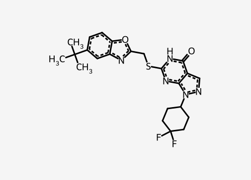 CC(C)(C)c1ccc2oc(CSc3nc4c(cnn4C4CCC(F)(F)CC4)c(=O)[nH]3)nc2c1